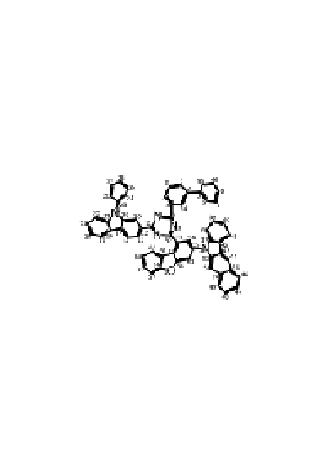 c1ccc(-c2cccc(-c3nc(-c4ccc5c6ccccc6n(-c6ccccc6)c5c4)nc(-c4cc(-n5c6ccccc6c6cc7ccccc7cc65)cc5oc6ccccc6c45)n3)c2)cc1